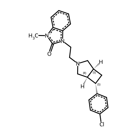 Cn1c(=O)n(CCN2C[C@H]3C[C@H](c4ccc(Cl)cc4)[C@H]3C2)c2ccccc21